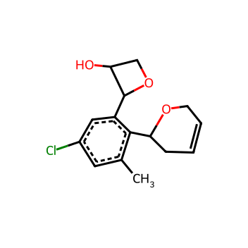 Cc1cc(Cl)cc(C2OCC2O)c1C1CC=CCO1